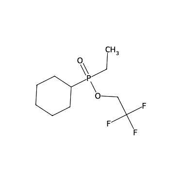 CCP(=O)(OCC(F)(F)F)C1CCCCC1